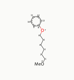 COCCCCCCOc1ccccc1